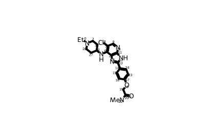 CCN1CCC(Nc2c(Cl)cnc3[nH]c(-c4ccc(OCC(=O)NC)cc4)nc23)CC1